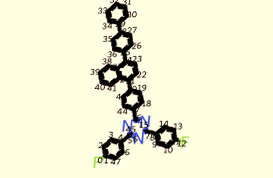 Fc1ccc(-c2nc(-c3ccc(F)cc3)nc(-c3ccc(-c4ccc(-c5ccc(-c6ccccc6)cc5)c5ccccc45)cc3)n2)cc1